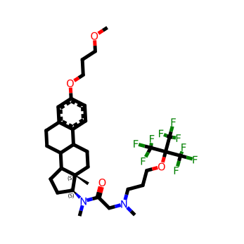 COCCCOc1ccc2c(c1)CCC1C2CC[C@@]2(C)C1CC[C@@H]2N(C)C(=O)CN(C)CCCOC(C(F)(F)F)(C(F)(F)F)C(F)(F)F